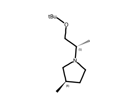 C[C@@H]1CCN([C@@H](C)COC(C)(C)C)C1